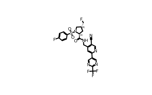 N#Cc1cnc(-c2cnc(C(F)(F)F)nc2)cc1CNC(=O)[C@@H]1C[C@@H](CF)CN1S(=O)(=O)c1ccc(F)cc1